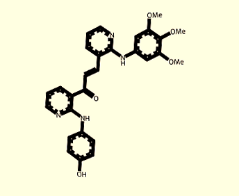 COc1cc(Nc2ncccc2C=CC(=O)c2cccnc2Nc2ccc(O)cc2)cc(OC)c1OC